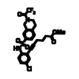 COC(=O)CCCC#Cc1cc(Cl)ccc1NS(=O)(=O)c1ccc2c(c1)CN(C(=O)C(F)(F)F)CC2